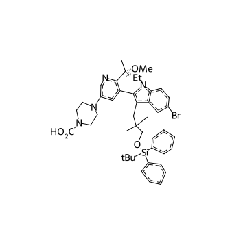 CCn1c(-c2cc(N3CCN(C(=O)O)CC3)cnc2[C@H](C)OC)c(CC(C)(C)CO[Si](c2ccccc2)(c2ccccc2)C(C)(C)C)c2cc(Br)ccc21